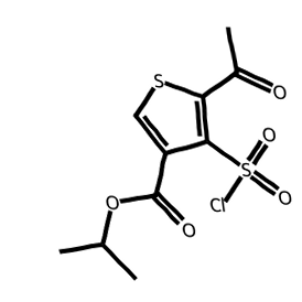 CC(=O)c1scc(C(=O)OC(C)C)c1S(=O)(=O)Cl